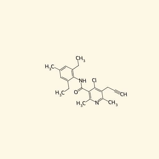 C#CCc1c(C)nc(C)c(C(=O)Nc2c(CC)cc(C)cc2CC)c1Cl